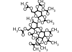 CC(=O)OCC1OC(C)C(OC2OC(COC(C)=O)C(OC(C)=O)C(OC(C)=O)C2OC(C)=O)C(OC2OC(COC(C)=O)C(OC(C)=O)C(OC(C)=O)C2OC(C)=O)C1OC(C)=O